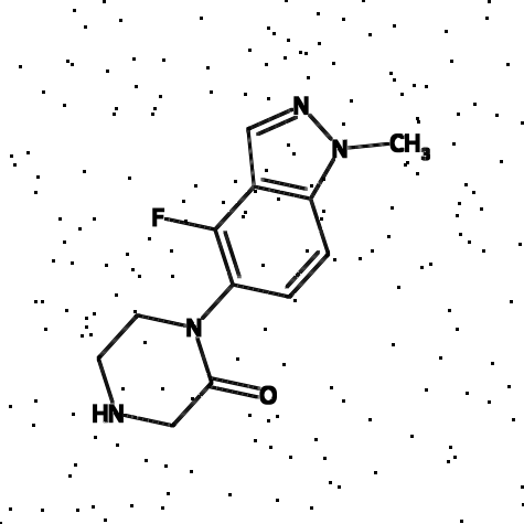 Cn1ncc2c(F)c(N3CCNCC3=O)ccc21